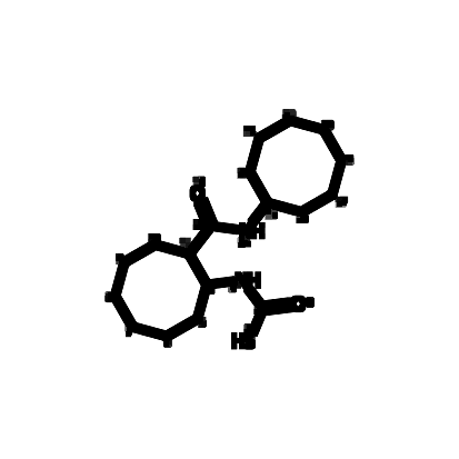 O=C(S)NC1CCCCCCC1C(=O)NC1CCCCCCC1